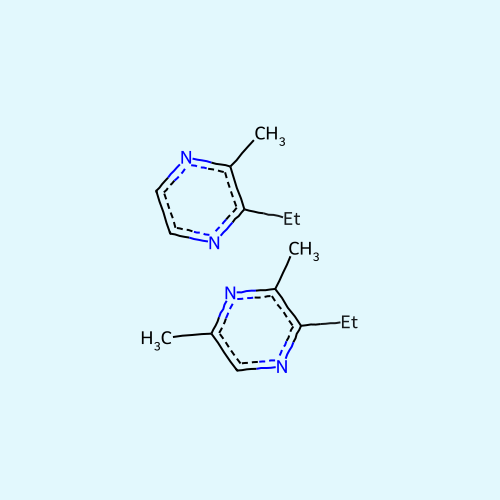 CCc1ncc(C)nc1C.CCc1nccnc1C